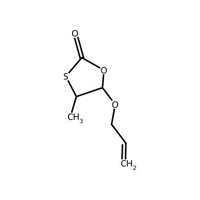 C=CCOC1OC(=O)SC1C